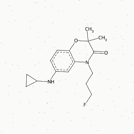 CC1(C)Oc2ccc(NC3CC3)cc2N(CCCF)C1=O